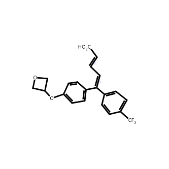 O=C(O)/C=C/C=C(\c1ccc(OC2COC2)cc1)c1ccc(C(F)(F)F)cc1